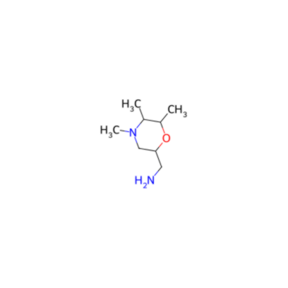 CC1OC(CN)CN(C)C1C